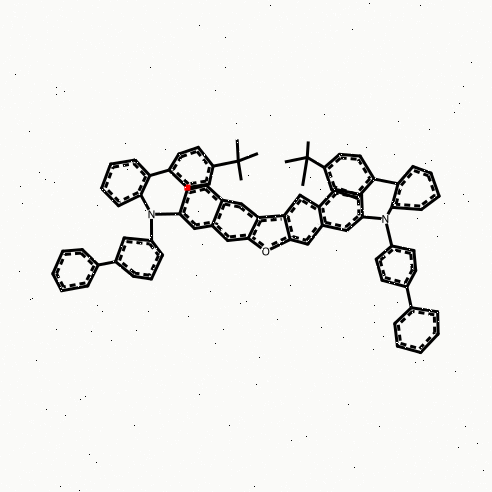 CC(C)(C)c1ccc(-c2ccccc2N(c2ccc(-c3ccccc3)cc2)c2ccc3cc4c(cc3c2)oc2cc3cc(N(c5cccc(-c6ccccc6)c5)c5ccccc5-c5ccc(C(C)(C)C)cc5)ccc3cc24)cc1